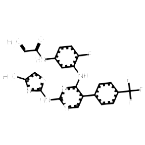 C=CC(=O)Nc1ccc(F)c(Nc2nc(Nc3nc(C)cs3)ncc2-c2ccc(C(F)(F)F)cc2)c1